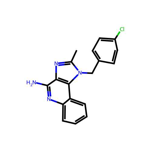 Cc1nc2c(N)nc3ccccc3c2n1Cc1ccc(Cl)cc1